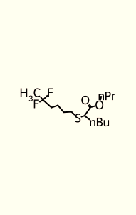 CCCCC(SCCCCC(C)(F)F)C(=O)OCCC